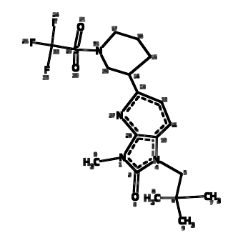 Cn1c(=O)n(CC(C)(C)C)c2ccc(C3CCCN(S(=O)(=O)C(F)(F)F)C3)nc21